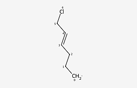 [CH2]CCC=CCCl